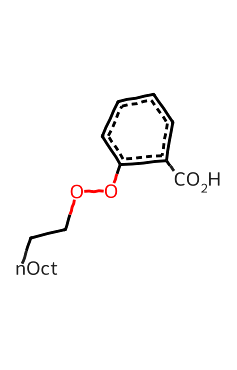 CCCCCCCCCCOOc1ccccc1C(=O)O